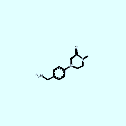 CN1CCN(c2ccc(CN)cc2)CC1=O